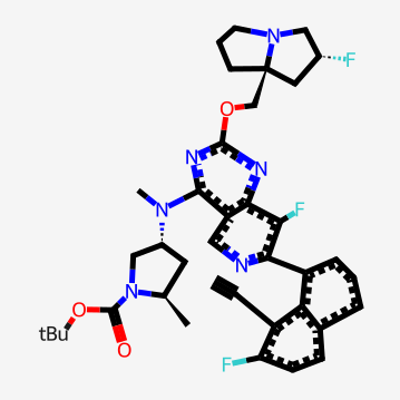 C#Cc1c(F)ccc2cccc(-c3ncc4c(N(C)[C@@H]5C[C@@H](C)N(C(=O)OC(C)(C)C)C5)nc(OC[C@@]56CCCN5C[C@H](F)C6)nc4c3F)c12